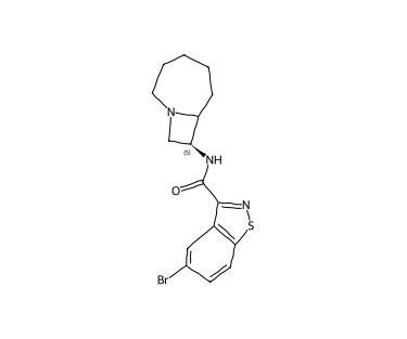 O=C(N[C@H]1CN2CCCCCC12)c1nsc2ccc(Br)cc12